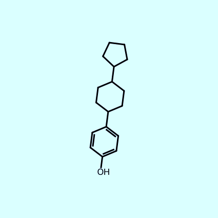 Oc1ccc(C2CCC(C3CCCC3)CC2)cc1